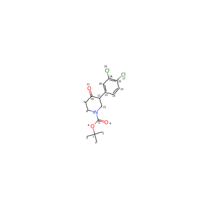 CC(C)(C)OC(=O)N1CCC(=O)C(c2ccc(Cl)c(Cl)c2)C1